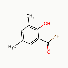 Cc1cc(C)c(O)c(C(=O)S)c1